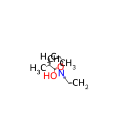 C=C(C)C(=O)O.C=CC.C=CC#N